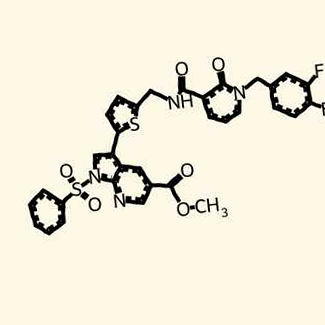 COC(=O)c1cnc2c(c1)c(-c1ccc(CNC(=O)c3cccn(Cc4ccc(F)c(F)c4)c3=O)s1)cn2S(=O)(=O)c1ccccc1